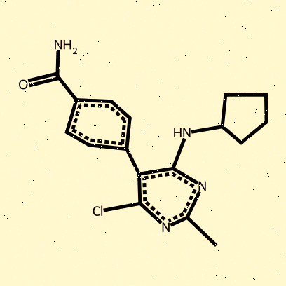 Cc1nc(Cl)c(-c2ccc(C(N)=O)cc2)c(NC2CCCC2)n1